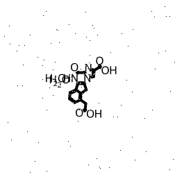 O.O.O=C(O)Cc1cccc2c1Cc1c-2[nH]c(=O)c2nc(C(=O)O)cn12